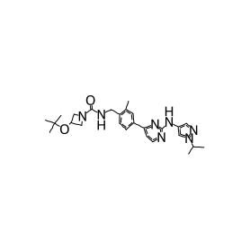 Cc1cc(-c2ccnc(Nc3cnn(C(C)C)c3)n2)ccc1CNC(=O)N1CC(OC(C)(C)C)C1